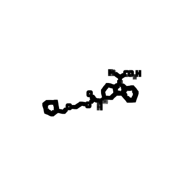 CCC(C(=O)O)n1c2c(c3ccccc31)C[C@H](NC(=O)OCCOCc1ccccc1)CC2